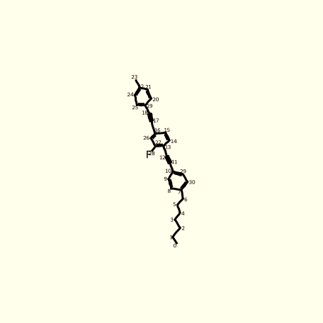 CCCCCCCc1ccc(C#Cc2ccc(C#Cc3ccc(C)cc3)cc2F)cc1